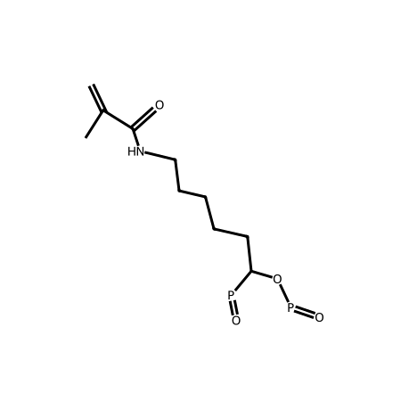 C=C(C)C(=O)NCCCCCC(OP=O)P=O